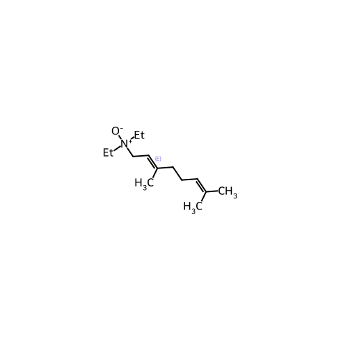 CC[N+]([O-])(CC)C/C=C(\C)CCC=C(C)C